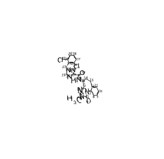 Cn1nc2n(c1=O)-c1ccccc1CC[C@H]2NC(=O)c1ncn(Cc2c(Cl)cccc2Cl)n1